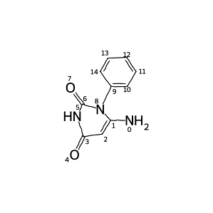 Nc1cc(=O)[nH]c(=O)n1-c1ccccc1